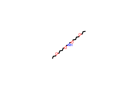 CCCOCCCCOCNCOCCCCOCCC